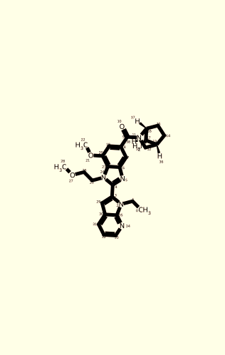 CCn1c(-c2nc3cc(C(=O)N4C[C@H]5CC[C@@H]4[C@@H]5N)cc(OC)c3n2CCOC)cc2cccnc21